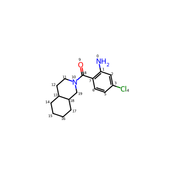 Nc1cc(Cl)ccc1C(=O)N1CCC2CCCCC2C1